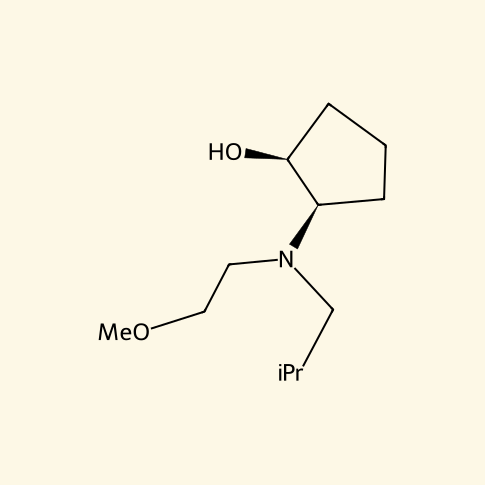 COCCN(CC(C)C)[C@@H]1CCC[C@@H]1O